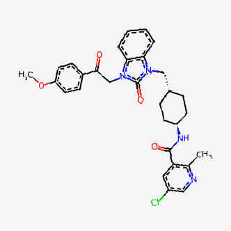 COc1ccc(C(=O)Cn2c(=O)n(C[C@H]3CC[C@H](NC(=O)c4cc(Cl)cnc4C)CC3)c3ccccc32)cc1